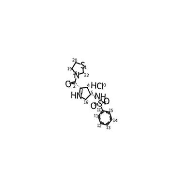 Cl.O=C([C@@H]1C[C@H](NS(=O)(=O)c2ccccc2)CN1)N1CCSC1